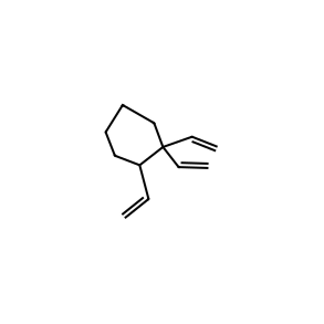 C=CC1CCCCC1(C=C)C=C